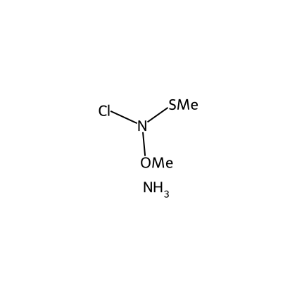 CON(Cl)SC.N